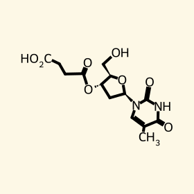 Cc1cn([C@H]2C[C@H](OC(=O)CCC(=O)O)[C@@H](CO)O2)c(=O)[nH]c1=O